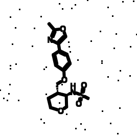 Cc1nc(-c2ccc(OC[C@H]3CCOC[C@@H]3NS(C)(=O)=O)cc2)co1